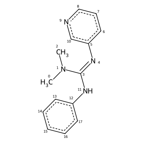 CN(C)C(=Nc1cccnc1)Nc1ccccc1